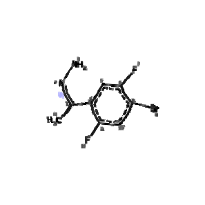 C/C(=N/N)c1cc(F)c(Br)cc1F